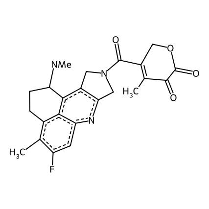 CNC1CCc2c(C)c(F)cc3nc4c(c1c23)CN(C(=O)C1=C(C)C(=O)C(=O)OC1)C4